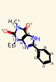 CCn1c(=O)n(C)c(=O)c2[nH]c(-c3ccccc3)nc21